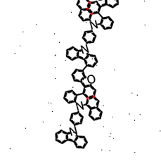 c1ccc(N(c2ccc(-n3c4ccccc4c4c(-c5cccc6c5oc5cccc(-c7ccccc7N(c7ccc(-n8c9ccccc9c9ccccc98)cc7)c7cccc8ccccc78)c56)cccc43)cc2)c2ccc3ccccc3c2)c(-c2cccc3oc4ccccc4c23)c1